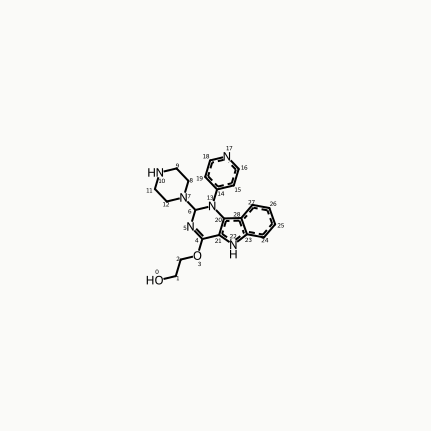 OCCOC1=NC(N2CCNCC2)N(c2ccncc2)c2c1[nH]c1ccccc21